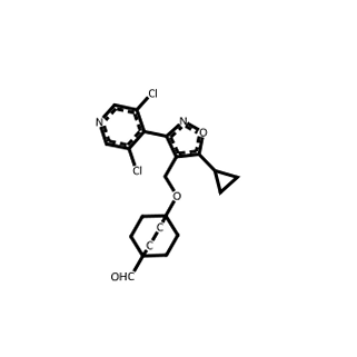 O=CC12CCC(OCc3c(-c4c(Cl)cncc4Cl)noc3C3CC3)(CC1)CC2